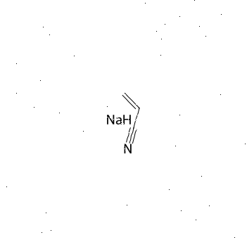 C=CC#N.[NaH]